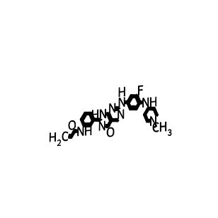 C=CC(=O)Nc1cccc(-c2nc(=O)c3cnc(Nc4ccc(NC5CCN(C)CC5)c(F)c4)nc3[nH]2)c1